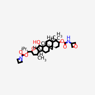 CC(C)[C@@H](OC(=O)N1CCC1)C1C[C@@H](C)[C@H]2C(O1)[C@H](O)[C@@]1(C)C3CC[C@H]4C(C)(C)C(OC(=O)NC5COC5)CC[C@@]45C[C@@]35CC[C@]21C